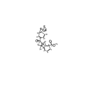 COC(=O)c1cccc2c1CN(C(=O)c1ccc(C(F)(F)F)cc1)C2(C)C